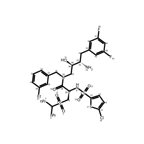 CCCC(CCC)S(=O)(=O)C[C@H](NS(=O)(=O)c1ccc(Cl)s1)C(=O)N(Cc1cccc(CC)c1)C[C@@H](O)[C@@H](N)Cc1cc(F)cc(F)c1